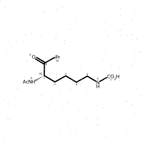 CC(=O)N[C@@H](CCCCNC(=O)O)C(=O)C(C)C